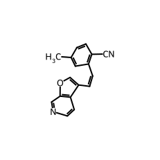 Cc1ccc(C#N)c(/C=C\c2coc3cnccc23)c1